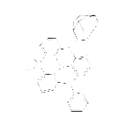 C[Si]1(C)c2cccc3c2B2c4c(cccc4N(C4CC5CC6CCC4C(C6)C5)c4cccc1c42)N3c1ccccc1